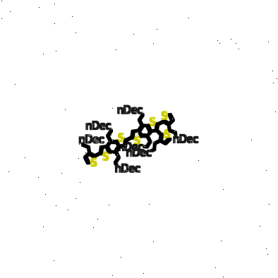 CCCCCCCCCCCCc1ccsc1-c1cc2c(CCCCCCCCCCCC)c3sc(-c4cc5c(CCCCCCCCCCCC)c6sc(-c7sccc7CCCCCCCCCCCC)c(-c7sccc7CCCCCCCCCCCC)c6c(CCCCCCCCCCCC)c5s4)cc3c(CCCCCCCCCCCC)c2s1